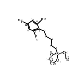 CCO[Si](CCCCCc1c(F)cc(F)cc1F)(OCC)OCC